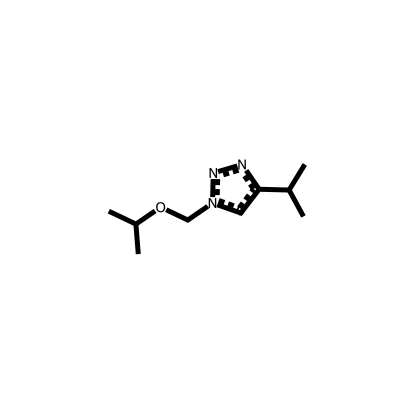 CC(C)OCn1cc(C(C)C)nn1